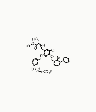 CC(C)OC(=O)[C@H](CO)NCc1cc(Cl)c(OCc2cccc(-c3ccccc3)c2Br)cc1OCc1cccnc1.O=C(O)/C=C\C(=O)O